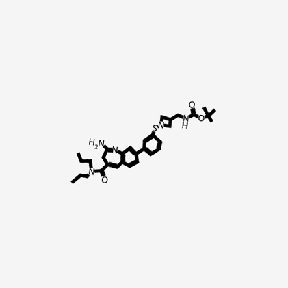 CCCN(CCC)C(=O)C1=Cc2ccc(-c3cccc(SN4CC(CNC(=O)OC(C)(C)C)C4)c3)cc2N=C(N)C1